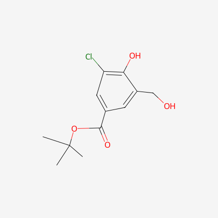 CC(C)(C)OC(=O)c1cc(Cl)c(O)c(CO)c1